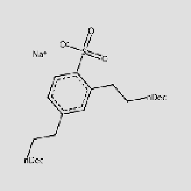 CCCCCCCCCCCCc1ccc(S(=O)(=O)[O-])c(CCCCCCCCCCCC)c1.[Na+]